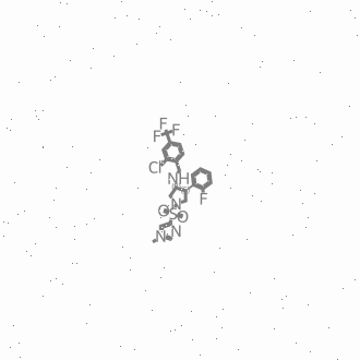 Cn1cnc(S(=O)(=O)N2C[C@H](NCc3ccc(C(F)(F)F)cc3Cl)[C@@H](c3ccccc3F)C2)c1